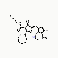 C=Nc1[nH]cc(/C=C2\OC(N3CCCCCC3)=C(C(=O)OCCOC)C2=O)c1/C=C\C